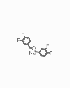 Fc1ccc(COCc2ccc(F)c(F)c2)cc1F.[Na]